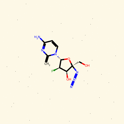 C=C1N=C(N)C=CN1[C@@H]1O[C@@](CO)(N=[N+]=[N-])[C@@H](O)[C@H]1F